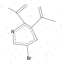 C=C(C)c1cc(Br)cnc1C(=C)C